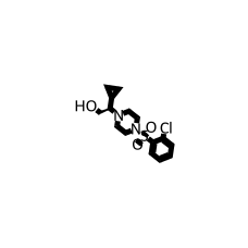 O=S(=O)(c1ccccc1Cl)N1CCN([C@@H](CO)C2CC2)CC1